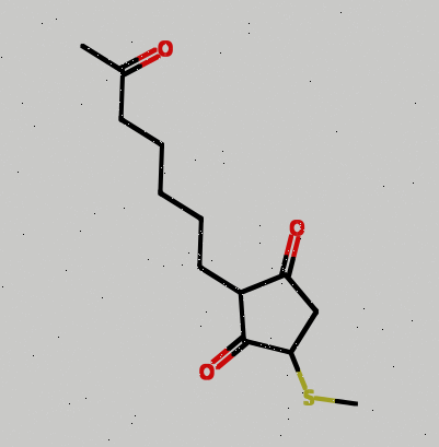 CSC1CC(=O)C(CCCCCC(C)=O)C1=O